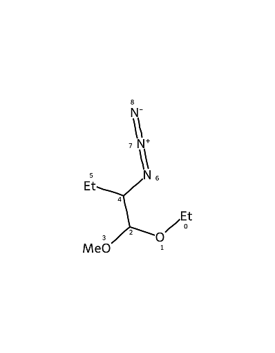 CCOC(OC)C(CC)N=[N+]=[N-]